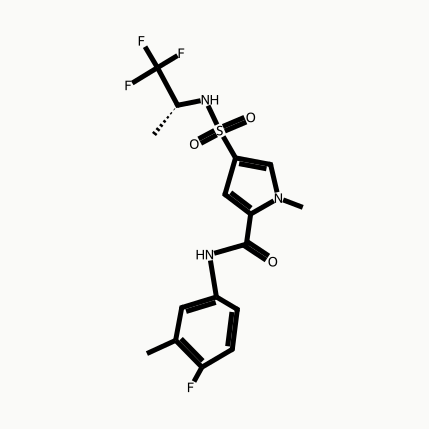 Cc1cc(NC(=O)c2cc(S(=O)(=O)N[C@H](C)C(F)(F)F)cn2C)ccc1F